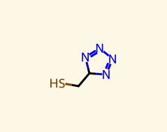 SCC1N=NN=N1